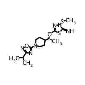 CSn1nc(O[C@@H](C)C2CCN(c3nc(C(C)C)no3)CC2)sc1=N